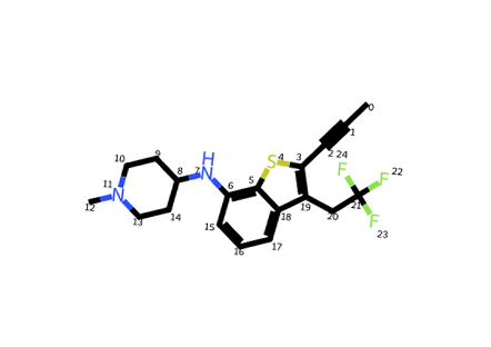 CC#Cc1sc2c(NC3CCN(C)CC3)cccc2c1CC(F)(F)F